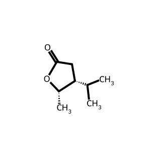 CC(C)[C@H]1CC(=O)O[C@H]1C